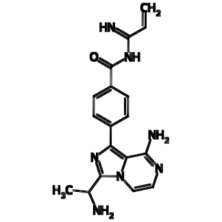 C=CC(=N)NC(=O)c1ccc(-c2nc(C(C)N)n3ccnc(N)c23)cc1